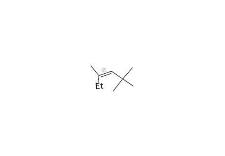 CC/C(C)=C\C(C)(C)C